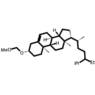 CCC(CC[C@@H](C)[C@H]1CC[C@H]2[C@@H]3CC=C4C[C@@H](OCOC)CC[C@]4(C)[C@H]3CC[C@]12C)C(C)C